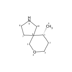 C[C@@H]1CCOCC12CCNC2